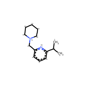 CC(C)c1cccc(CN2CCCCC2)n1